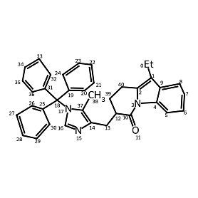 CCc1c2n(c3ccccc13)C(=O)C(Cc1ncn(C(c3ccccc3)(c3ccccc3)c3ccccc3)c1C)CC2